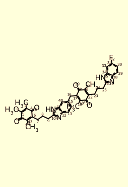 CC1=C(C)C(=O)C(CCCc2nc3ccc(CC4=C(C)C(=O)C(CCCc5nc6ccc(F)cc6[nH]5)=C(C)C4=O)cc3[nH]2)=C(C)C1=O